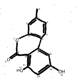 Cc1ccc2c(c1)oc(=O)c1c(O)cc(O)cc12